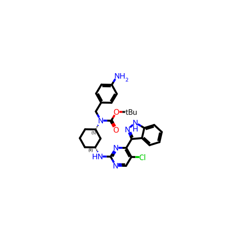 CC(C)(C)OC(=O)N(Cc1ccc(N)cc1)[C@H]1CCC[C@@H](Nc2ncc(Cl)c(-c3n[nH]c4ccccc34)n2)C1